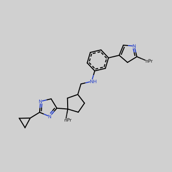 CCCC1=NC=C(c2cccc(NCC3CCC(CCC)(C4=NC(C5CC5)=NC4)C3)c2)C1